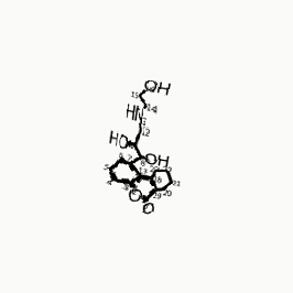 O=c1oc2cccc(C(O)C(O)CNCCO)c2c2c1CCCC2